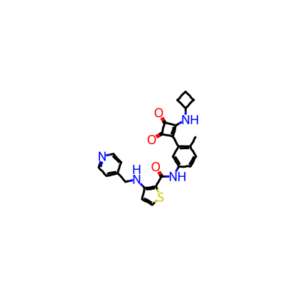 Cc1ccc(NC(=O)c2sccc2NCc2ccncc2)cc1-c1c(NC2CCC2)c(=O)c1=O